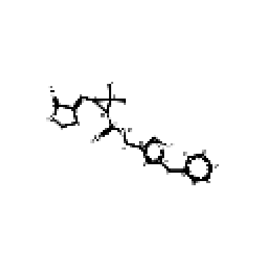 CC1(C)C(C=C2CCSC2=O)[C@@H]1C(=O)OCc1coc(Cc2ccccc2)c1